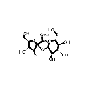 CC(=O)OC(C(C)=O)[C@@]1(O[C@H]2O[C@H](CO)[C@@H](O)[C@H](O)[C@H]2O)O[C@H](CO)[C@@H](O)[C@@H]1O